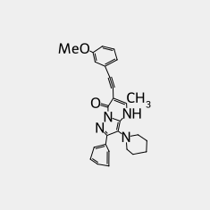 COc1cccc(C#Cc2c(C)[nH]c3c(N4CCCCC4)c(-c4ccccc4)nn3c2=O)c1